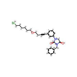 O=C1CN(c2cccc(C#CCCOCCCCCCBr)c2)C(=O)N1Cc1ccccc1